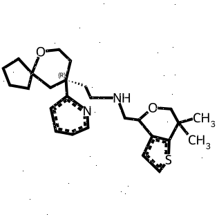 CC1(C)COC(CNCC[C@@]2(c3ccccn3)CCOC3(CCCC3)C2)c2ccsc21